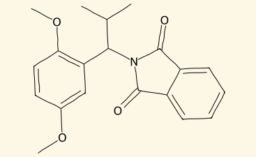 COc1ccc(OC)c(C(C(C)C)N2C(=O)c3ccccc3C2=O)c1